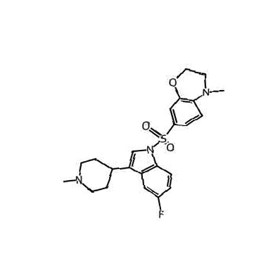 CN1CCC(c2cn(S(=O)(=O)c3ccc4c(c3)OCCN4C)c3ccc(F)cc23)CC1